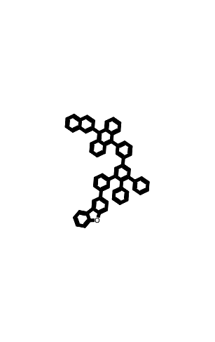 c1ccc(-c2cc(-c3cccc(-c4c5ccccc5c(-c5ccc6ccccc6c5)c5ccccc45)c3)cc(-c3cccc(-c4ccc5oc6ccccc6c5c4)c3)c2-c2ccccc2)cc1